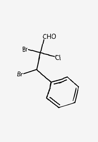 O=CC(Cl)(Br)C(Br)c1ccccc1